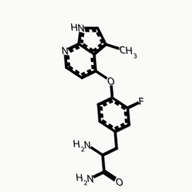 Cc1c[nH]c2nccc(Oc3ccc(CC(N)C(N)=O)cc3F)c12